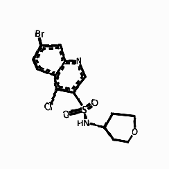 O=S(=O)(NC1CCOCC1)c1cnc2cc(Br)ccc2c1Cl